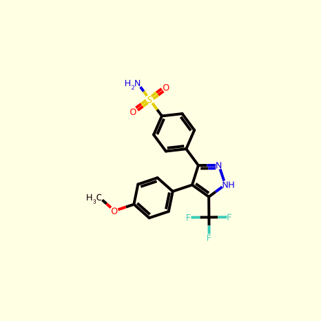 COc1ccc(-c2c(-c3ccc(S(N)(=O)=O)cc3)n[nH]c2C(F)(F)F)cc1